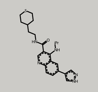 CC(C)Nc1c(C(=O)NCCC2CCSCC2)cnc2ccc(-c3cn[nH]c3)cc12